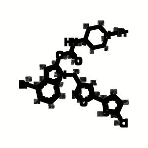 CC(C)N1CCC(NC(=O)Oc2cc3c(Br)cccc3n2Cc2cc(-c3ccc(Cl)s3)on2)CC1